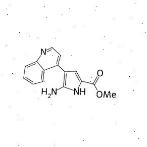 COC(=O)c1cc(-c2ccnc3ccccc23)c(N)[nH]1